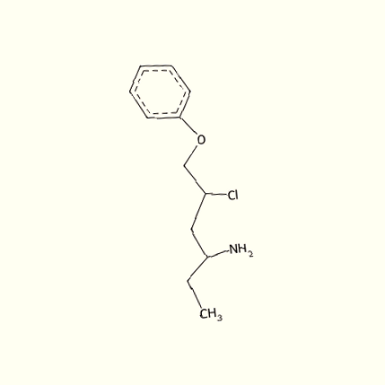 CCC(N)CC(Cl)COc1ccccc1